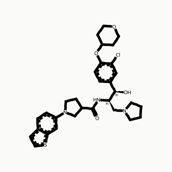 O=C(N[C@H](CN1CCCC1)[C@H](O)c1ccc(OC2CCOCC2)c(Cl)c1)C1CCN(c2ccc3ccsc3c2)C1